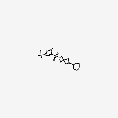 Cn1nc(C(C)(F)F)cc1S(=O)(=O)N1CC2(CN(C3CCOCC3)C2)C1